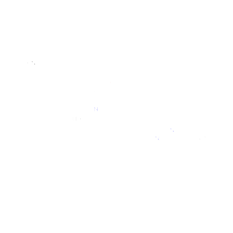 CN(C(=O)c1ccc([N+](=O)[O-])cc1Cl)c1ccc(-n2nc(C(F)(F)F)cc2C(F)(F)F)cc1